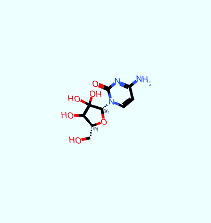 Nc1ccn([C@@H]2O[C@H](CO)C(O)C2(O)O)c(=O)n1